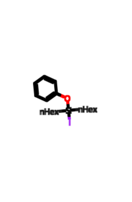 CCCCCC[Si](I)(CCCCCC)Oc1ccccc1